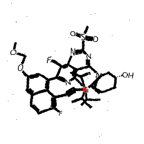 COCOc1cc(-c2nc(OC(C)C)c3c(N4CCC[C@@H](O)C4)nc(S(C)(=O)=O)nc3c2F)c2c(C#C[Si](C(C)C)(C(C)C)C(C)C)c(F)ccc2c1